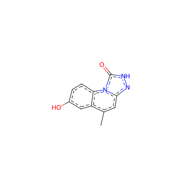 Cc1cc2n[nH]c(=O)n2c2ccc(O)cc12